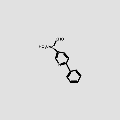 O=CN(C(=O)O)c1ccc(-c2ccccc2)nc1